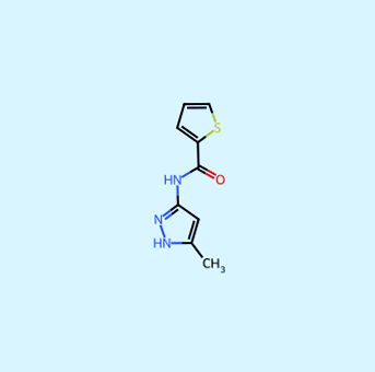 Cc1cc(NC(=O)c2cccs2)n[nH]1